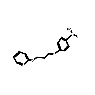 OB(O)c1ccc(OCCCOc2ccccn2)cc1